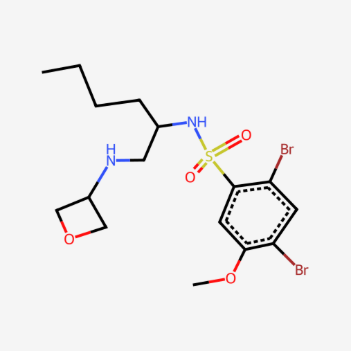 CCCCC(CNC1COC1)NS(=O)(=O)c1cc(OC)c(Br)cc1Br